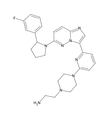 NCCN1CCN(c2cccc(-c3cnc4ccc(N5CCCC5c5cccc(F)c5)nn34)n2)CC1